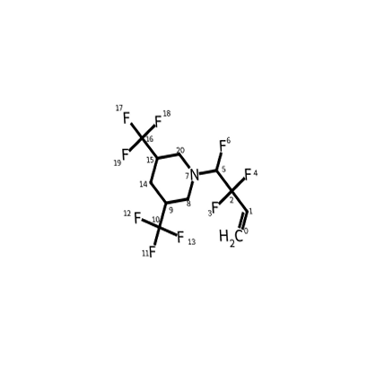 C=CC(F)(F)C(F)N1CC(C(F)(F)F)CC(C(F)(F)F)C1